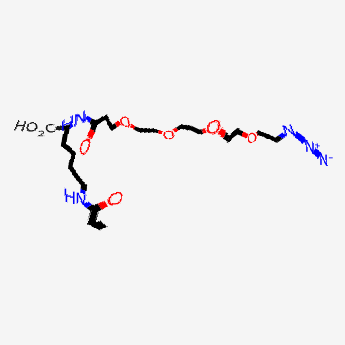 C=CC(=O)NCCCCC(NC(=O)CCOCCOCCOCCOCCN=[N+]=[N-])C(=O)O